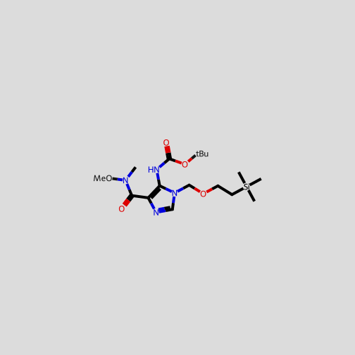 CON(C)C(=O)c1ncn(COCC[Si](C)(C)C)c1NC(=O)OC(C)(C)C